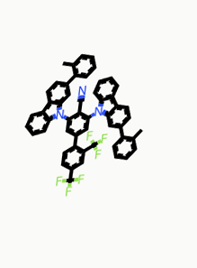 Cc1ccccc1-c1ccc2c3ccccc3n(-c3cc(-c4ccc(C(F)(F)F)cc4C(F)(F)F)cc(-n4c5ccccc5c5ccc(-c6ccccc6C)cc54)c3C#N)c2c1